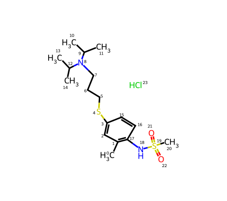 Cc1cc(SCCCN(C(C)C)C(C)C)ccc1NS(C)(=O)=O.Cl